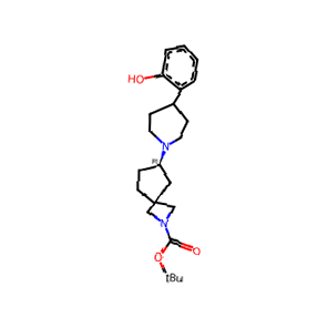 CC(C)(C)OC(=O)N1CC2(CC[C@@H](N3CCC(c4ccccc4O)CC3)C2)C1